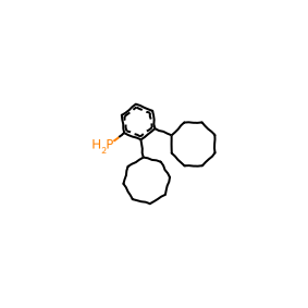 Pc1cccc(C2CCCCCCC2)c1C1CCCCCCC1